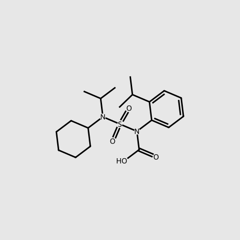 CC(C)c1ccccc1N(C(=O)O)S(=O)(=O)N(C(C)C)C1CCCCC1